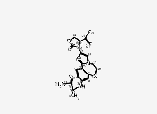 C[C@H](Nc1ccc2c(c1)SCCn1cc(N3C(=O)OC[C@H]3C(F)F)nc1-2)C(N)=O